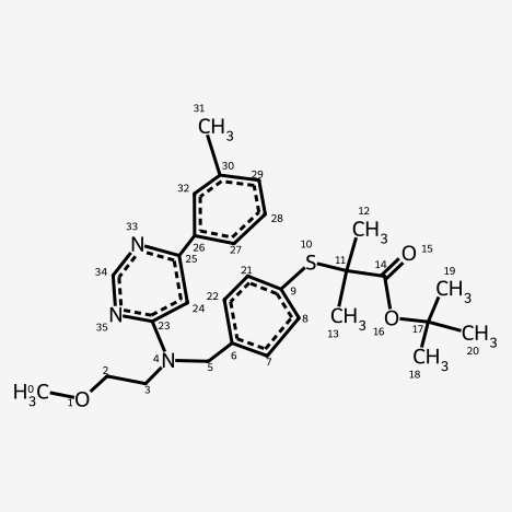 COCCN(Cc1ccc(SC(C)(C)C(=O)OC(C)(C)C)cc1)c1cc(-c2cccc(C)c2)ncn1